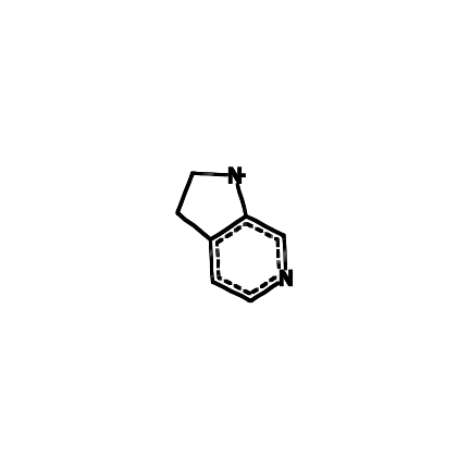 c1cc2c(cn1)[N]CC2